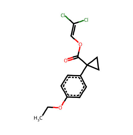 CCOc1ccc(C2(C(=O)OC=C(Cl)Cl)CC2)cc1